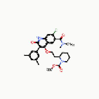 CON(C)C(=O)c1cc2c(OCCC3CCCCN3C(=O)OC(C)(C)C)c(-c3cc(C)cc(C)c3)c(=O)[nH]c2cc1Cl